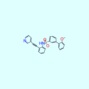 COc1ccccc1-c1cccc(S(=O)(=O)Nc2ccccc2C#Cc2cccnc2)c1